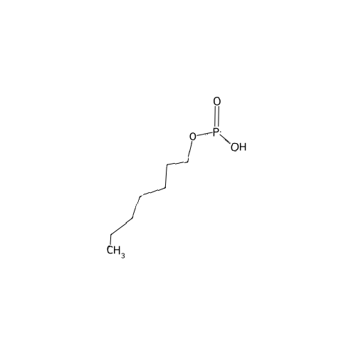 CCCCCCCO[P](=O)O